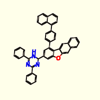 c1ccc(C2=NC(c3cc(-c4ccc(-c5cccc6ccccc56)cc4)c4c(c3)oc3cc5ccccc5cc34)NC(c3ccccc3)=N2)cc1